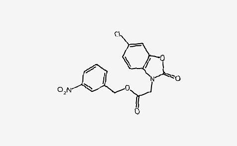 O=C(Cn1c(=O)oc2cc(Cl)ccc21)OCc1cccc([N+](=O)[O-])c1